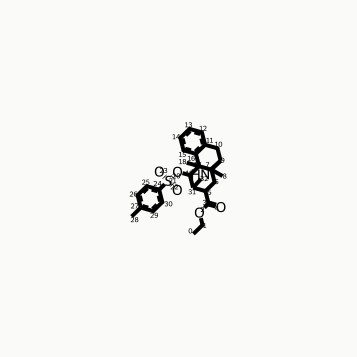 CCOC(=O)C1CC2(C)C3Cc4ccccc4C2(C)C(OS(=O)(=O)c2ccc(C)cc2)C1N3